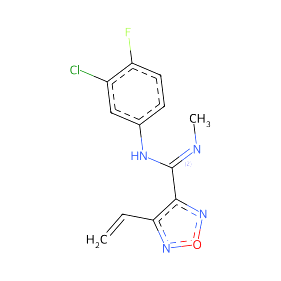 C=Cc1nonc1/C(=N/C)Nc1ccc(F)c(Cl)c1